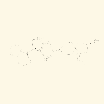 N[C@@H]1C[C@H](O)CC12CCN(c1cnc3c(N4CCCc5ncccc54)n[nH]c3n1)CC2